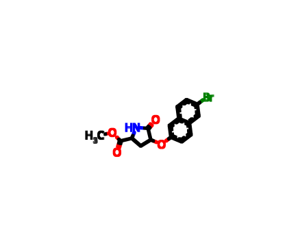 COC(=O)C1CC(Oc2ccc3cc(Br)ccc3c2)C(=O)N1